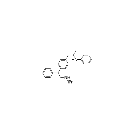 CC(C)NCC(c1ccccc1)c1ccc(CC(C)Nc2ccccc2)cc1